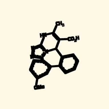 COc1cccc(-c2ccccc2C2C(C(=O)O)=C(C)Nc3nnnn32)c1